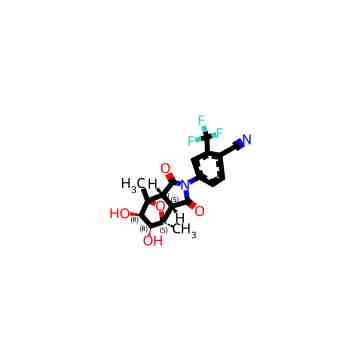 CC12O[C@](C)([C@H](O)[C@H]1O)[C@H]1C(=O)N(c3ccc(C#N)c(C(F)(F)F)c3)C(=O)[C@H]12